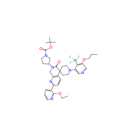 CCCOc1cncc(N2CCC3(CC2)C(=O)N(C2CCN(C(=O)OC(C)(C)C)C2)Cc2nc(-c4cccnc4OCC)ccc23)c1C(F)(F)F